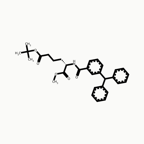 COC(=O)[C@H](CCCC(=O)OC(C)(C)C)NC(=O)c1cccc(C(c2ccccc2)c2ccccc2)c1